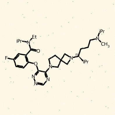 CCN(C(=O)c1cc(F)ccc1Oc1nncnc1N1CCC2(C1)CN([C@@H](CCCN(C)C(C)C)C(C)C)C2)C(C)C